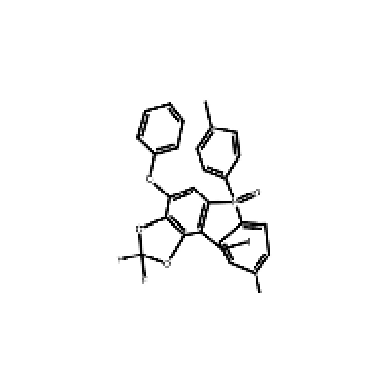 Cc1ccc(P(=O)(c2ccc(C)cc2)c2cc(Oc3ccccc3)c3c(c2CI)OC(F)(F)O3)cc1